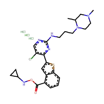 CC1CN(C)CCN1CCCNc1ncc(Cl)c(-c2cc3c(C(=O)ONC4CC4)cccc3s2)n1.Cl.Cl.Cl